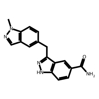 Cn1ncc2cc(Cc3n[nH]c4ccc(C(N)=O)cc34)ccc21